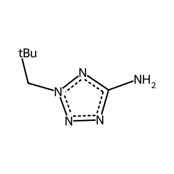 CC(C)(C)Cn1nnc(N)n1